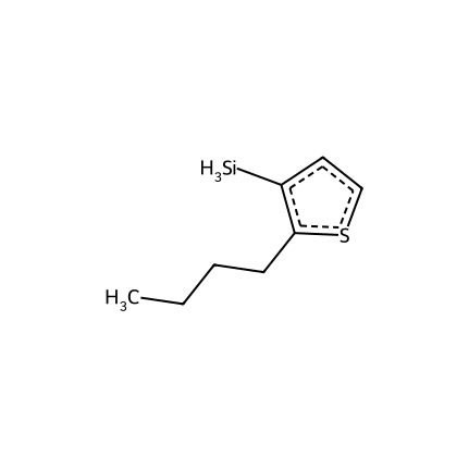 CCCCc1sccc1[SiH3]